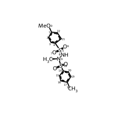 COc1ccc(S(=O)(=O)NN(C)S(=O)(=O)c2ccc(C)cc2)cc1